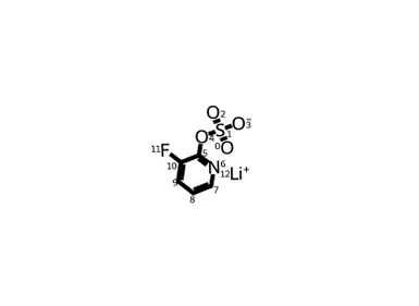 O=S(=O)([O-])Oc1ncccc1F.[Li+]